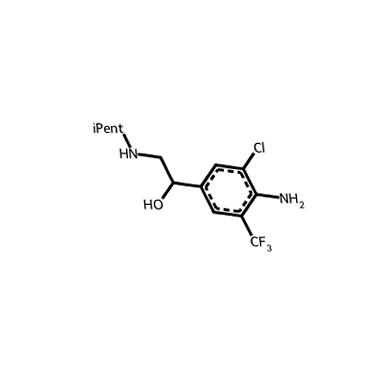 CCCC(C)NCC(O)c1cc(Cl)c(N)c(C(F)(F)F)c1